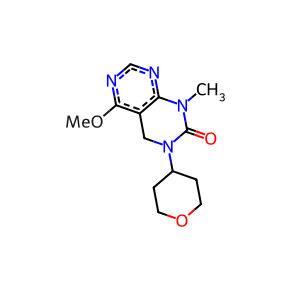 COc1ncnc2c1CN(C1CCOCC1)C(=O)N2C